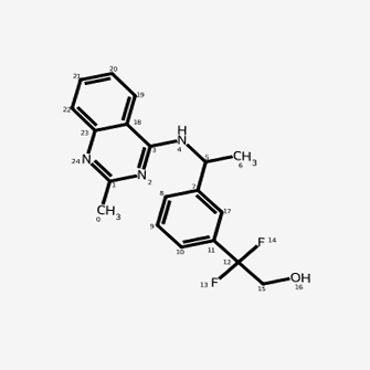 Cc1nc(NC(C)c2cccc(C(F)(F)CO)c2)c2ccccc2n1